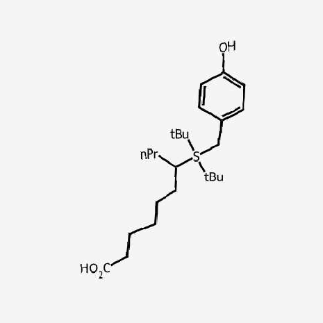 CCCC(CCCCCC(=O)O)S(Cc1ccc(O)cc1)(C(C)(C)C)C(C)(C)C